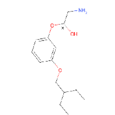 CCC(CC)COc1cccc(O[C@@H](O)CN)c1